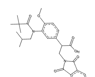 COc1ccc(C(CN2C(=O)c3ccccc3C2=O)C(=O)O)cc1N(CC(C)C)C(=O)C(C)(C)C